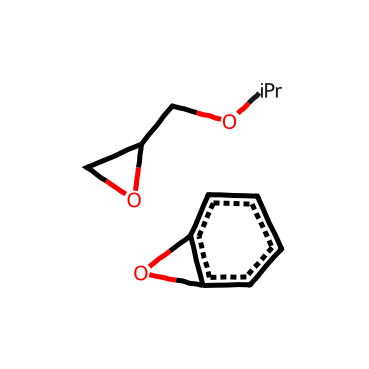 CC(C)OCC1CO1.c1ccc2c(c1)O2